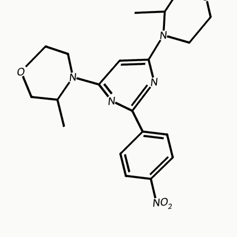 CC1COCCN1c1cc(N2CCOCC2C)nc(-c2ccc([N+](=O)[O-])cc2)n1